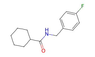 O=C(NCc1ccc(F)cc1)C1CCCCC1